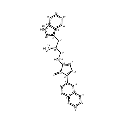 C=S1C(c2ccc3cnccc3c2)=CN=C1NC[C@@H](N)Cc1c[nH]c2ccccc12